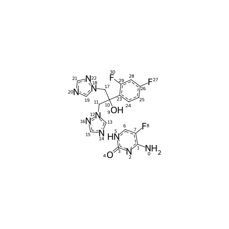 Nc1nc(=O)[nH]cc1F.OC(Cn1cncn1)(Cn1cncn1)c1ccc(F)cc1F